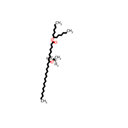 CCCCCCCCCCCCCCCCC(CCCCCCCC(=O)OC(CCCCCC)CCCCCC)OC(C)(C)C